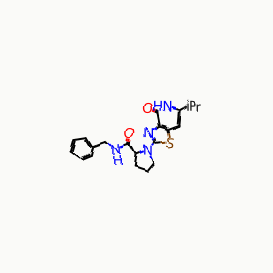 CC(C)c1cc2sc(N3CCCC3C(=O)NCc3ccccc3)nc2c(=O)[nH]1